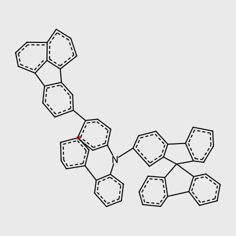 c1ccc(-c2ccccc2N(c2ccc(-c3ccc4c(c3)-c3cccc5cccc-4c35)cc2)c2ccc3c(c2)C2(c4ccccc4-c4ccccc42)c2ccccc2-3)cc1